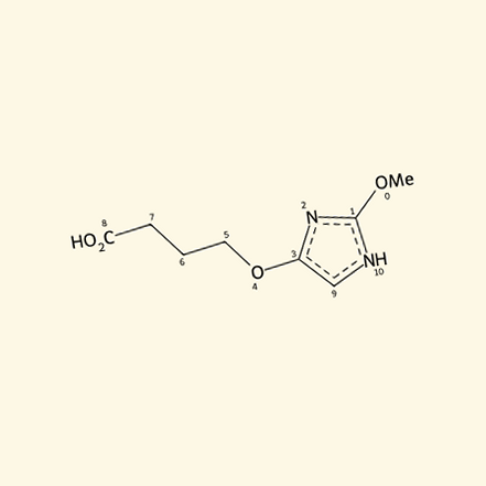 COc1nc(OCCCC(=O)O)c[nH]1